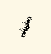 Cc1nc2c(ccc3cc(-c4cc5c(s4)OCCO5)c(C)nc32)cc1-c1cc2c(s1)OCCO2